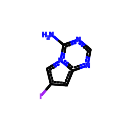 Nc1ncnc2cc(I)cn12